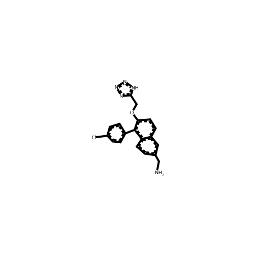 NCc1ccc2c(-c3ccc(Cl)cc3)c(OCc3nnn[nH]3)ccc2c1